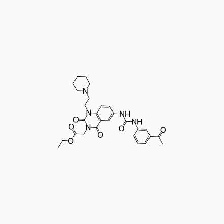 CCOC(=O)Cn1c(=O)c2cc(NC(=O)Nc3cccc(C(C)=O)c3)ccc2n(CCN2CCCCC2)c1=O